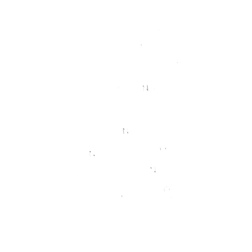 O=[N+]([O-])c1cccnc1N1CCN(C2CC3CCC2C3)CC1